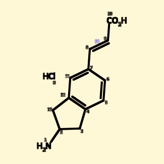 Cl.NC1Cc2ccc(/C=C/C(=O)O)cc2C1